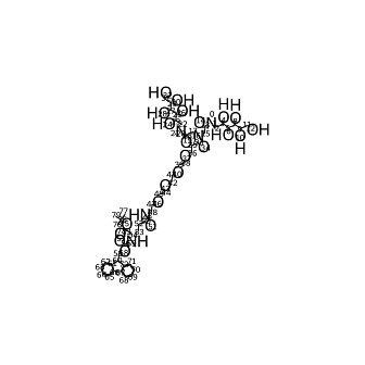 CN(C[C@H](O)[C@@H](O)[C@H](O)[C@H](O)CO)C(=O)CN(CC(=O)N(C)C[C@H](O)[C@@H](O)[C@H](O)[C@H](O)CO)C(=O)CCOCCOCCOCCOCCNC(=O)CC[C@H](NC(=O)OCC1c2ccccc2-c2ccccc21)C(=O)OC(C)(C)C